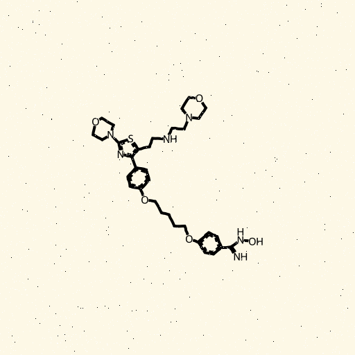 N=C(NO)c1ccc(OCCCCCOc2ccc(-c3nc(N4CCOCC4)sc3CCNCCN3CCOCC3)cc2)cc1